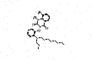 CCCCCCCCC(CCC)c1ccccc1OC1C(=O)c2cccc(N)c2C(N)C1=O